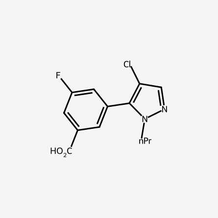 CCCn1ncc(Cl)c1-c1cc(F)cc(C(=O)O)c1